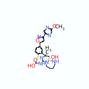 COc1cnc(-c2cc(-c3ccc(F)c([C@]4(C)CS5(O)NCCCCN5C(NC(=O)O)=N4)c3)on2)cn1